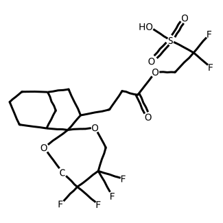 O=C(CCC1CC2CCCC(C2)C12OCC(F)(F)C(F)(F)CO2)OCC(F)(F)S(=O)(=O)O